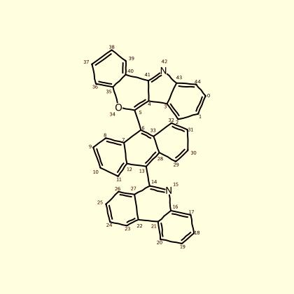 c1ccc2c3c(-c4c5ccccc5c(-c5nc6ccccc6c6ccccc56)c5ccccc45)oc4ccccc4c-3nc2c1